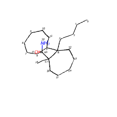 CCCCC1(C2CCCCCC2)CCCCCC1(C)C(N)=O